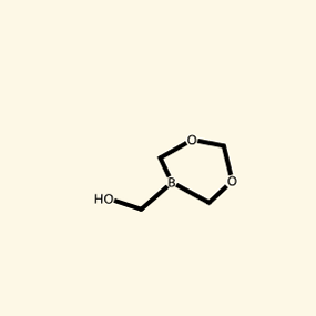 OCB1COCOC1